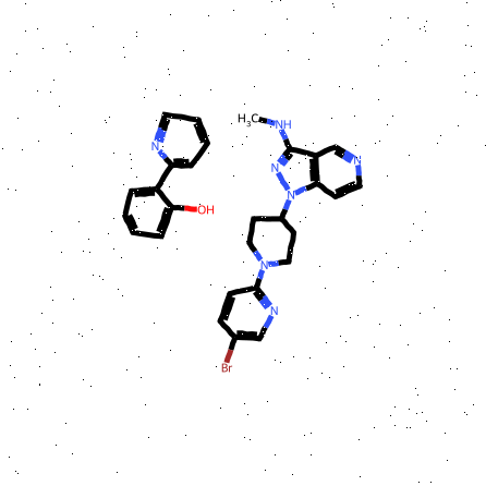 CNc1nn(C2CCN(c3ccc(Br)cn3)CC2)c2ccncc12.Oc1ccccc1-c1ccccn1